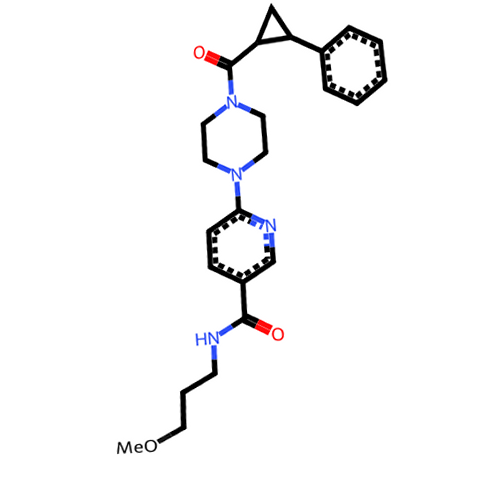 COCCCNC(=O)c1ccc(N2CCN(C(=O)C3CC3c3ccccc3)CC2)nc1